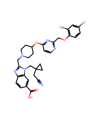 N#CCC1(Cn2c(CN3CCC(Oc4ccnc(COc5ccc(Cl)cc5Cl)n4)CC3)nc3ccc(C(=O)O)cc32)CC1